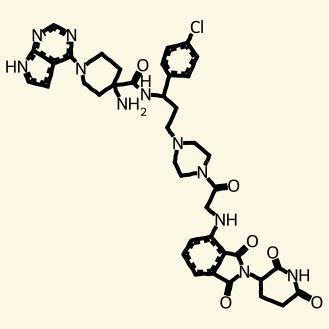 NC1(C(=O)NC(CCN2CCN(C(=O)CNc3cccc4c3C(=O)N(C3CCC(=O)NC3=O)C4=O)CC2)c2ccc(Cl)cc2)CCN(c2ncnc3[nH]ccc23)CC1